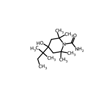 CCC(C)(C)C1(O)CC(C)(C)N(C(N)=O)C(C)(C)C1